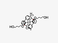 CC(CC1(C2(CC(C)C(=O)OCCCCO)c3ccccc3-c3ccccc32)C2=C(CCC=C2)c2ccccc21)C(=O)OCCCCO